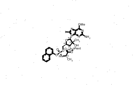 CCCCCOC(=O)[C@H](C)NP(=O)(OC[C@H]1O[C@@H](n2c(I)nc3c(OC)nc(N)nc32)[C@](C)(O)[C@@H]1O)Oc1cccc2ccccc12